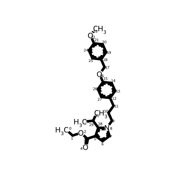 CCOC(=O)c1ccn(CCCc2ccc(OCc3ccc(OC)cc3)cc2)c1C(C)C